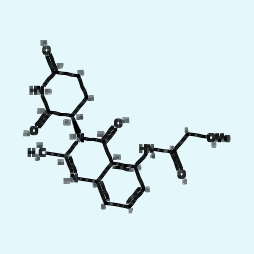 COCC(=O)Nc1cccc2nc(C)n([C@@H]3CCC(=O)NC3=O)c(=O)c12